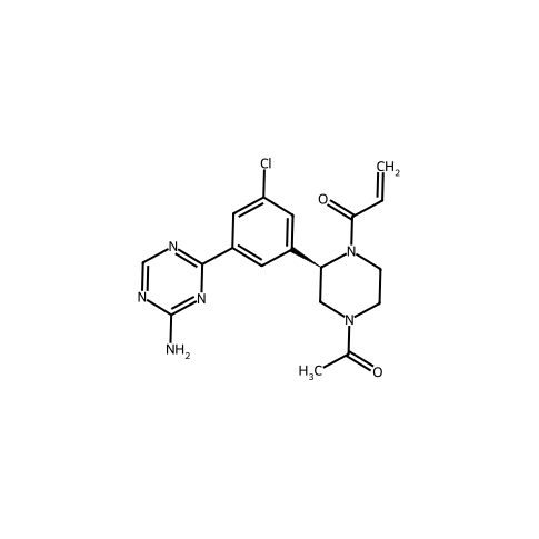 C=CC(=O)N1CCN(C(C)=O)C[C@H]1c1cc(Cl)cc(-c2ncnc(N)n2)c1